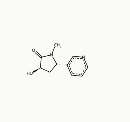 CN1C(=O)[C@H](O)C[C@H]1c1cccnc1